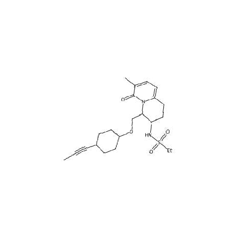 CC#CC1CCC(OCC2C(NS(=O)(=O)CC)CCc3ccc(C)c(=O)n32)CC1